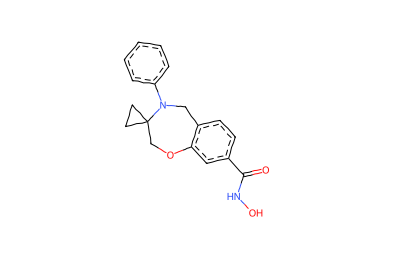 O=C(NO)c1ccc2c(c1)OCC1(CC1)N(c1ccccc1)C2